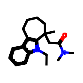 CCn1c2c(c3ccccc31)CCCCC2(C)CC(=O)N(C)C